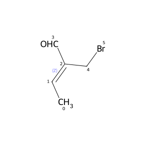 C/C=C(/C=O)CBr